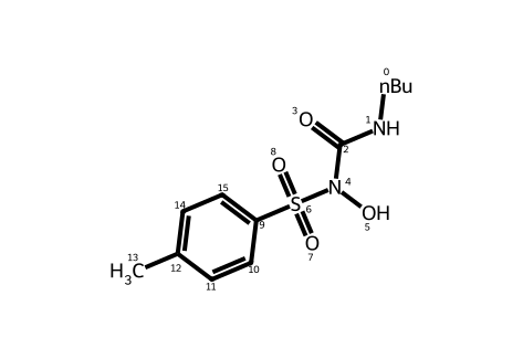 CCCCNC(=O)N(O)S(=O)(=O)c1ccc(C)cc1